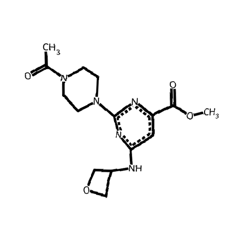 COC(=O)c1cc(NC2COC2)nc(N2CCN(C(C)=O)CC2)n1